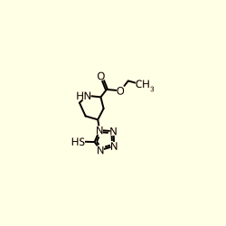 CCOC(=O)C1CC(n2nnnc2S)CCN1